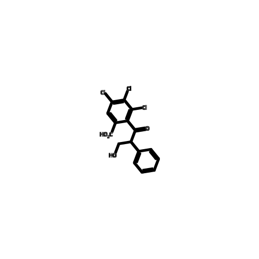 O=C(O)c1cc(Cl)c(Cl)c(Cl)c1C(=O)C(CO)c1ccccc1